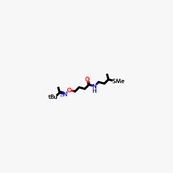 CSC(C)CCNC(=O)CCCO/N=C(\C)C(C)(C)C